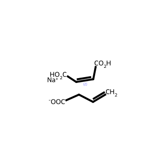 C=CCC(=O)[O-].O=C(O)/C=C\C(=O)O.[Na+]